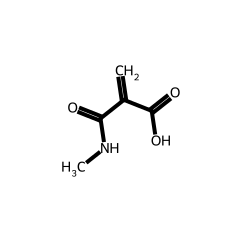 C=C(C(=O)O)C(=O)NC